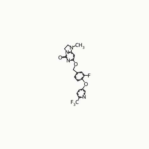 CN1CCn2c1cc(OCc1ccc(Oc3ccc(C(F)(F)F)nc3)c(F)c1)nc2=O